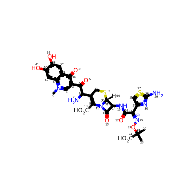 Cn1cc(C(=O)C(N)C2=C(C(=O)O)N3C(=O)C(NC(=O)/C(=N\OC(C)(C)C(=O)O)c4csc(N)n4)[C@H]3SC2)c(=O)c2cc(O)c(O)cc21